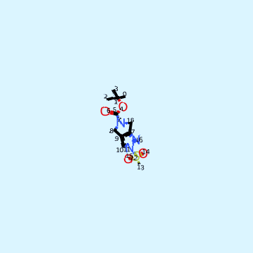 CC(C)(C)OC(=O)N1Cc2cn(S(C)(=O)=O)nc2C1